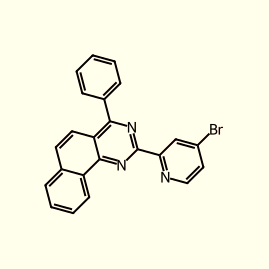 Brc1ccnc(-c2nc(-c3ccccc3)c3ccc4ccccc4c3n2)c1